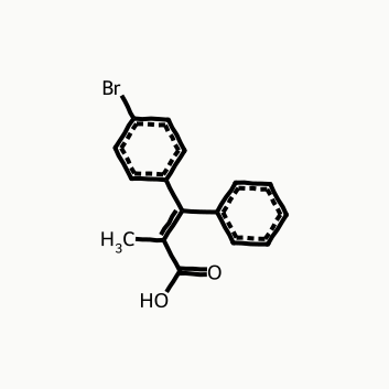 CC(C(=O)O)=C(c1ccccc1)c1ccc(Br)cc1